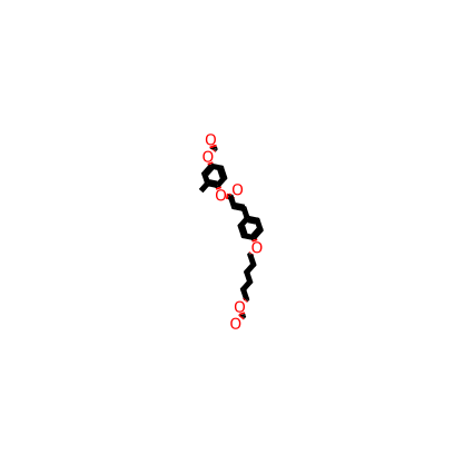 Cc1cc(OC=O)ccc1OC(=O)/C=C/c1ccc(OCCCCCCOC=O)cc1